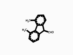 Cc1cccc2c1-c1c(C)cccc1C2C=O